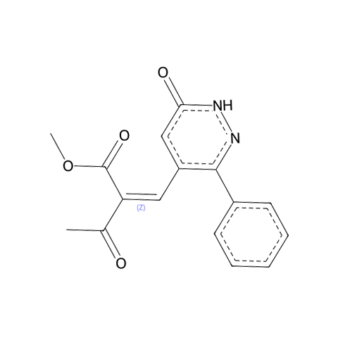 COC(=O)/C(=C\c1cc(=O)[nH]nc1-c1ccccc1)C(C)=O